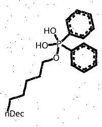 CCCCCCCCCCCCCCCOP(O)(O)(c1ccccc1)c1ccccc1